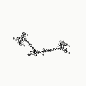 CC(=O)OC[C@H]1O[C@@H](OCCOCCOCCOCC(=O)NCCCC[C@H](NC(=O)COCCOCCOCCO[C@H]2C[C@@H](OC(C)=O)[C@@H](OC(C)=O)[C@@H](COC(C)=O)O2)C(=O)NCC(=O)O)C[C@@H](OC(C)=O)[C@H]1OC(C)=O